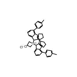 Cc1ccc(-c2cccc3c2C=C(C2CCCC2)[CH]3[Ti+2]2([CH]3C(C4CCCC4)=Cc4c(-c5ccc(C)cc5)cccc43)[CH2]C[CH2]2)cc1.[Cl-].[Cl-]